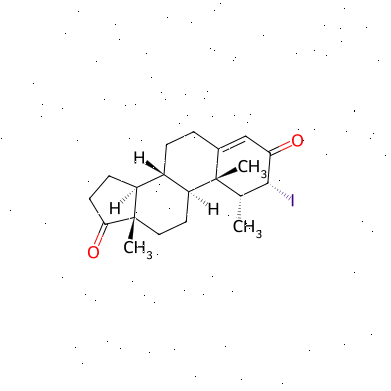 C[C@H]1[C@@H](I)C(=O)C=C2CC[C@@H]3[C@H](CC[C@]4(C)C(=O)CC[C@@H]34)[C@]21C